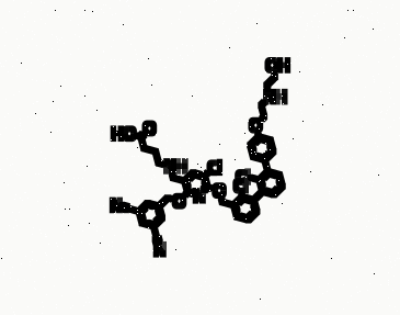 N#Cc1cc(C#N)cc(COc2nc(OCc3cccc(-c4cccc(-c5ccc(OCCNCCO)cc5)c4Cl)c3Cl)c(Cl)cc2CNCCCC(=O)O)c1